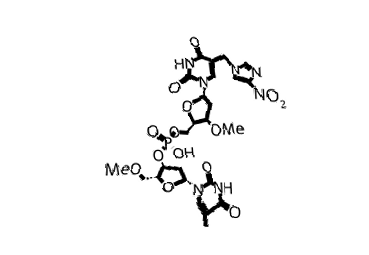 COC[C@H]1O[C@@H](n2cc(C)c(=O)[nH]c2=O)C[C@H]1OP(=O)(O)OC[C@H]1O[C@@H](n2cc(Cn3cnc([N+](=O)[O-])c3)c(=O)[nH]c2=O)C[C@H]1OC